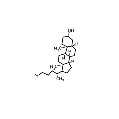 CC(C)CCC[C@@H](C)C1CC[C@H]2[C@@H]3CC[C@H]4C[C@@H](O)CC[C@]4(C)[C@H]3CC[C@]12C